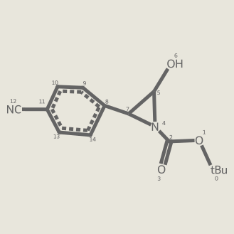 CC(C)(C)OC(=O)N1C(O)C1c1ccc(C#N)cc1